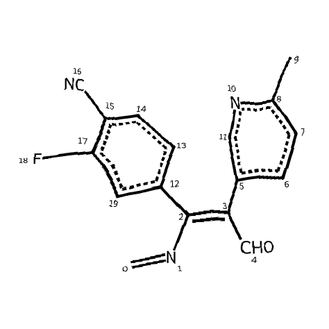 C=N/C(=C(\C=O)c1ccc(C)nc1)c1ccc(C#N)c(F)c1